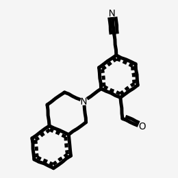 N#Cc1ccc(C=O)c(N2CCc3ccccc3C2)c1